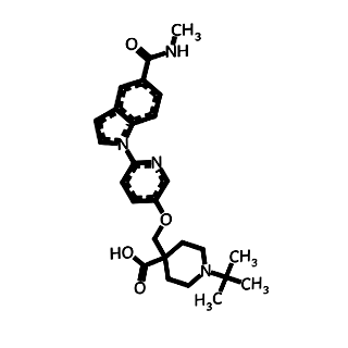 CNC(=O)c1ccc2c(ccn2-c2ccc(OCC3(C(=O)O)CCN(C(C)(C)C)CC3)cn2)c1